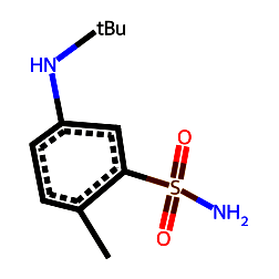 Cc1ccc(NC(C)(C)C)cc1S(N)(=O)=O